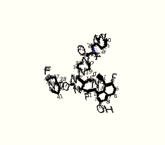 C#Cc1c(F)ccc2cc(O)cc(-c3ncc4c(N5CCN(C(=O)/C(F)=C/c6cccnn6)CC5)nc(OC[C@@]56CCCN5C[C@H](F)C6)nc4c3F)c12